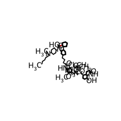 CCCCCCN(C)C1CCC(N(C(=O)O)c2cc(CCCC(=O)Nc3cc(OC)c(CNC[C@H](O[Si](C)(C)C(C)(C)C)c4ccc(O)c5[nH]c(=O)ccc45)cc3Cl)ccc2-c2ccccc2)CC1